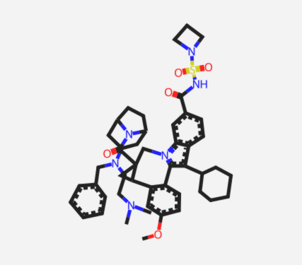 COc1ccc2c(c1)C1CC1(C(=O)N1C3CCC1CC(N(CCN(C)C)Cc1ccccc1)C3)Cn1c-2c(C2CCCCC2)c2ccc(C(=O)NS(=O)(=O)N3CCC3)cc21